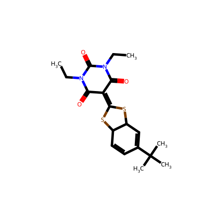 CCN1C(=O)C(=C2SC3C=CC(C(C)(C)C)=CC3S2)C(=O)N(CC)C1=O